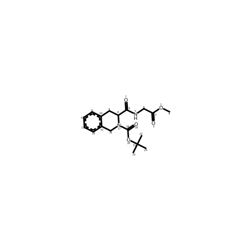 COC(=O)CNC(=O)C1Cc2ccccc2CN1C(=O)OC(C)(C)C